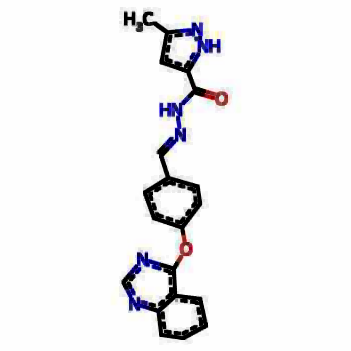 Cc1cc(C(=O)N/N=C/c2ccc(Oc3ncnc4ccccc34)cc2)[nH]n1